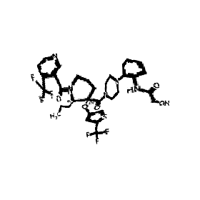 CCC[C@H]1N(C(=O)c2cnccc2C(F)(F)F)CCC[C@@]1(Oc1csc(C(F)(F)F)c1)C(=O)N1CCN(c2ccccc2NC(=O)CO)CC1